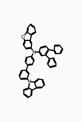 c1ccc(-c2ccc(N(c3ccc(-c4cccc(-n5c6ccccc6c6ccccc65)c4)cc3)c3ccc4oc5ccccc5c4c3)cc2-c2ccccc2)cc1